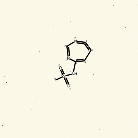 CS(=O)(=O)NC1=CC=C=NC=N1